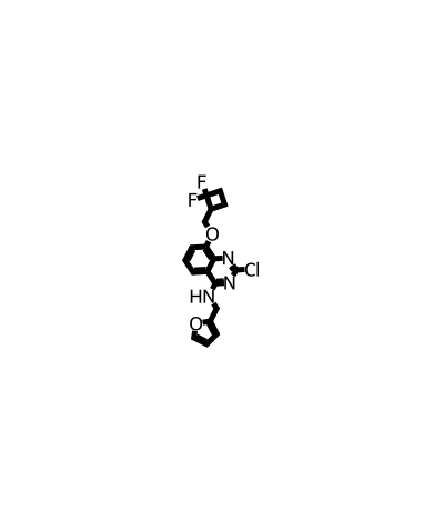 FC1(F)CCC1COc1cccc2c(NCc3ccco3)nc(Cl)nc12